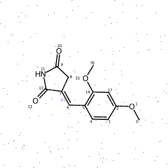 COc1ccc(/C=C2\CC(=O)NC2=O)c(OC)c1